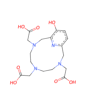 O=C(O)CN1CCN(CC(=O)O)Cc2ccc(O)c(n2)CN(CC(=O)O)CC1